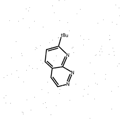 CC(C)(C)c1ccc2ccnnc2n1